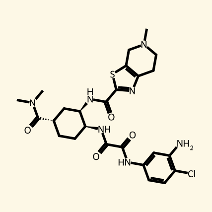 CN1CCc2nc(C(=O)N[C@@H]3C[C@@H](C(=O)N(C)C)CC[C@@H]3NC(=O)C(=O)Nc3ccc(Cl)c(N)c3)sc2C1